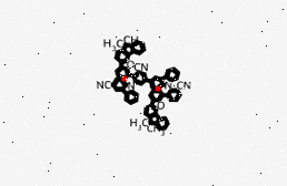 CC1(C)c2ccccc2-c2c1ccc1c2oc2c(-c3cccc(C#N)c3-n3c4ccccc4c4cc(-c5cc(C#N)c(-c6cccc7c6oc6c8c(ccc67)C(C)(C)c6ccccc6-8)c(-n6c7ccccc7c7cc(C#N)ccc76)c5)ccc43)cccc21